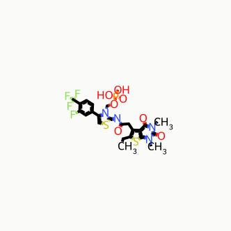 CCc1sc2c(c1CC(=O)/N=c1\scc(-c3ccc(C(F)(F)F)c(F)c3)n1COP(=O)(O)O)c(=O)n(C)c(=O)n2C